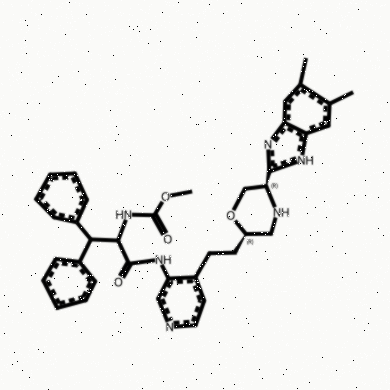 COC(=O)NC(C(=O)Nc1cnccc1CC[C@@H]1CN[C@H](c2nc3cc(C)c(C)cc3[nH]2)CO1)C(c1ccccc1)c1ccccc1